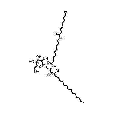 CCCCCCCCCCCCCC[C@@H](O)[C@@H](O)[C@H](CO[C@H]1OC(CO)[C@H](O)[C@H](O)C1O)NC(=O)CCCCCCCCNC(=O)CCCCCCCBr